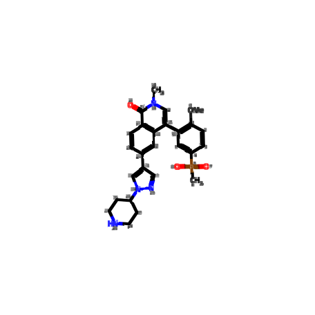 COc1ccc(S(C)(=O)=O)cc1-c1cn(C)c(=O)c2ccc(-c3cnn(C4CCNCC4)c3)cc12